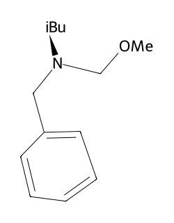 CC[C@H](C)N(COC)Cc1ccccc1